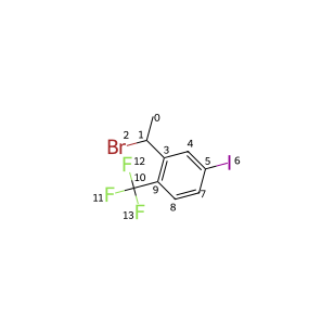 CC(Br)c1cc(I)ccc1C(F)(F)F